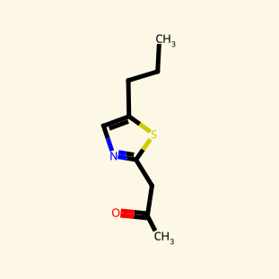 CCCc1cnc(CC(C)=O)s1